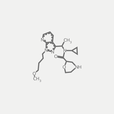 COCCCCn1nc(C(C)N(C(=O)C2CNCCO2)C2CC2)c2cccnc21